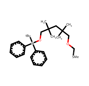 CSCOCC(C)(C)CC(C)(C)CO[Si](c1ccccc1)(c1ccccc1)C(C)(C)C